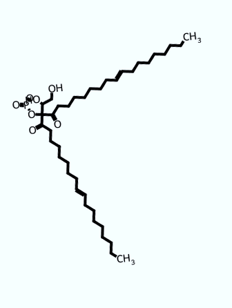 CCCCCCCCC=CCCCCCCCC(=O)C(OP(=O)=O)(C(=O)CCCCCCCC=CCCCCCCCC)C(O)CO